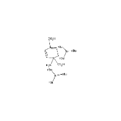 CCCCN(CCCC)CCCC.CCCCN(CCCC)CCCC.NC1(C(=O)O)C=CC(C(=O)O)=CC1